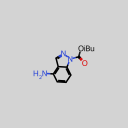 CC(C)COC(=O)n1ncc2c(N)cccc21